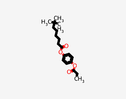 CCC(=O)Oc1ccc(OC(=O)CCCCCC(C)(C)C)cc1